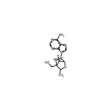 CC1OC2[C@H](n3cnc4c(N)ncnc43)O[C@]1(CO)[C@@H]2O